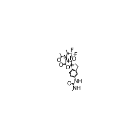 CNC(=O)Nc1ccc2c(c1)CC[C@@]21OC(=O)N(N(C(C)=O)[C@@H](C)C(F)(F)F)C1=O